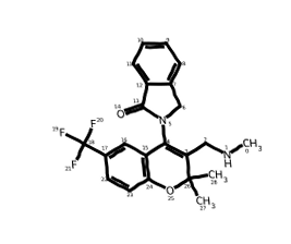 CNCC1=C(N2Cc3ccccc3C2=O)c2cc(C(F)(F)F)ccc2OC1(C)C